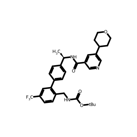 C[C@@H](NC(=O)c1cncc(C2CCOCC2)c1)c1ccc(-c2cc(C(F)(F)F)ccc2CNC(=O)OC(C)(C)C)cc1